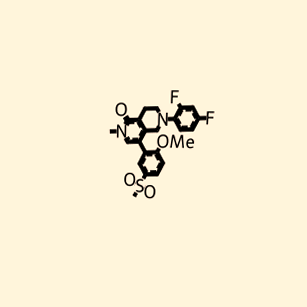 COc1ccc(S(C)(=O)=O)cc1-c1cn(C)c(=O)c2c1CN(c1ccc(F)cc1F)CC2